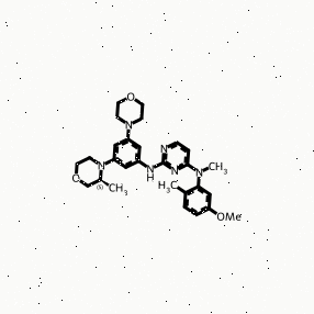 COc1ccc(C)c(N(C)c2ccnc(Nc3cc(N4CCOCC4)cc(N4CCOC[C@@H]4C)c3)n2)c1